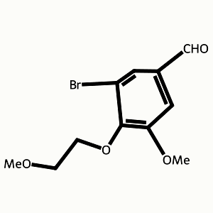 COCCOc1c(Br)cc(C=O)cc1OC